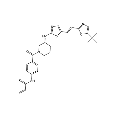 C=CC(=O)Nc1ccc(C(=O)N2CCC[C@@H](Nc3ncc(/C=C/c4ncc(C(C)(C)C)o4)s3)C2)cc1